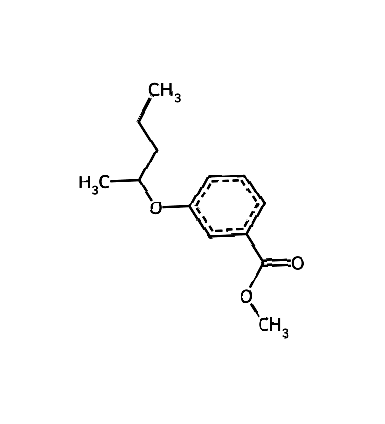 CCCC(C)Oc1cccc(C(=O)OC)c1